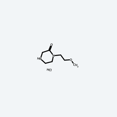 COCCN1CCNCC1=O.Cl